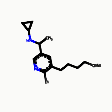 CCc1ncc(C(C)NC2CC2)cc1CCCCOC